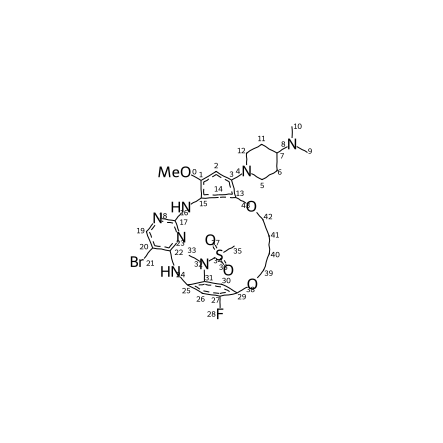 COc1cc(N2CCC(N(C)C)CC2)c2cc1Nc1ncc(Br)c(n1)Nc1cc(F)c(cc1N(C)S(C)(=O)=O)OCCCCO2